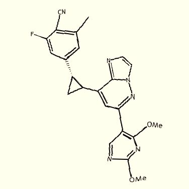 COc1ncc(-c2cc(C3C[C@@H]3c3cc(C)c(C#N)c(F)c3)c3nccn3n2)c(OC)n1